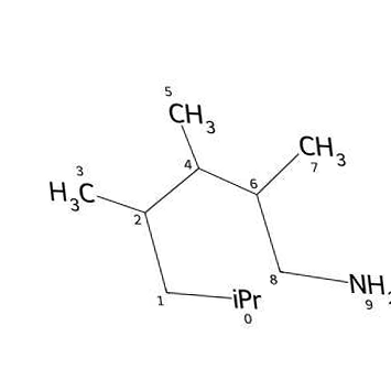 CC(C)CC(C)C(C)C(C)CN